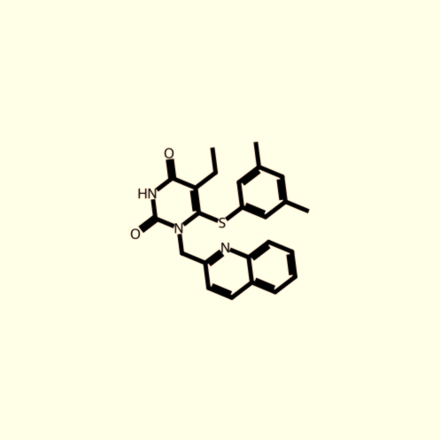 CCc1c(Sc2cc(C)cc(C)c2)n(Cc2ccc3ccccc3n2)c(=O)[nH]c1=O